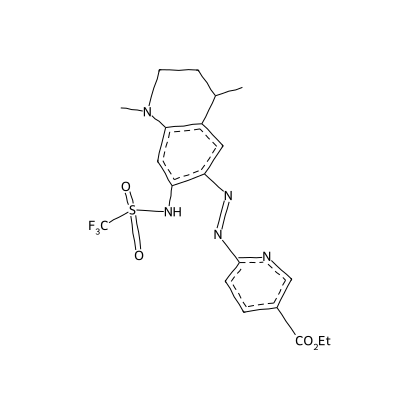 CCOC(=O)c1ccc(N=Nc2cc3c(cc2NS(=O)(=O)C(F)(F)F)N(C)CCC3C)nc1